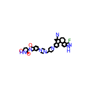 N#CC1(C2=C(c3ccc(N4CCC(CN5CCN(c6ccc7c(c6)CN(C6CCC(=O)NC6=O)C7=O)CC5)CC4)cc3)c3ccc4[nH]nc(F)c4c3CCC2)CC1